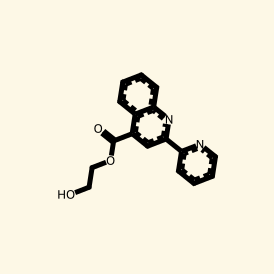 O=C(OCCO)c1cc(-c2ccccn2)nc2ccccc12